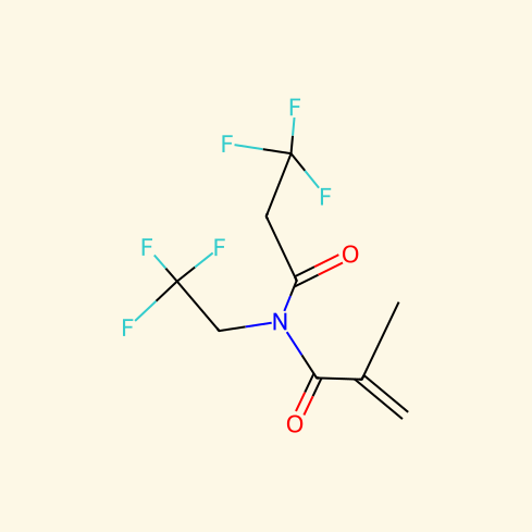 C=C(C)C(=O)N(CC(F)(F)F)C(=O)CC(F)(F)F